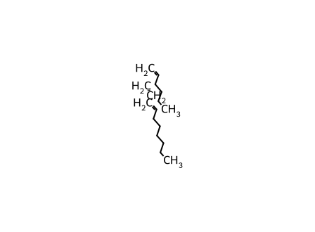 C=C.C=CCCCC.C=CCCCCCC